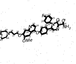 COc1cc2c(Oc3ccc(-c4cnc(C(N)=O)c(=O)n4-c4ccc(F)cc4)cc3)ccnc2cc1OCCCN1CCOCC1